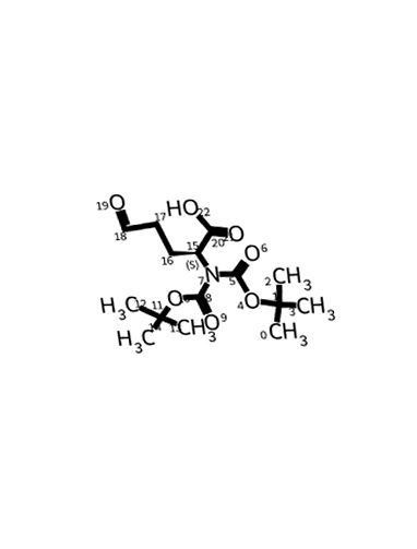 CC(C)(C)OC(=O)N(C(=O)OC(C)(C)C)[C@@H](CCC=O)C(=O)O